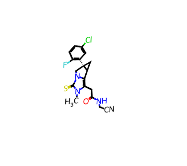 Cn1c(CC(=O)NCC#N)c2n(c1=S)C[C@@]1(c3cc(Cl)ccc3F)CC21